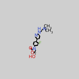 CN(C)CCNc1ccc(-c2ccc(N3C[C@H](CO)OC3=O)cc2F)cn1